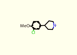 COc1ccc(C2CC[N]CC2)cc1Cl